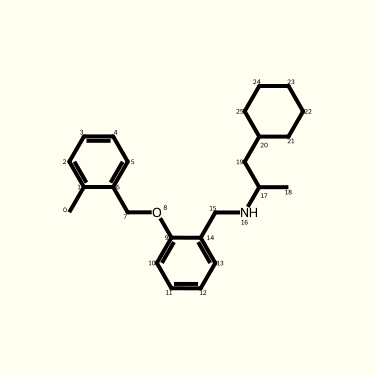 Cc1ccccc1COc1ccccc1CNC(C)CC1CCCCC1